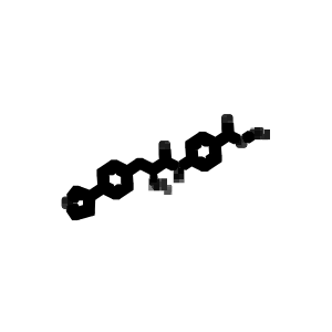 CC(C)(C)OC(=O)c1ccc(NC(=O)[C@@H](N)Cc2ccc(-c3ccoc3)cc2)cc1